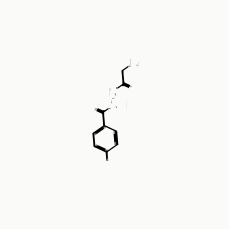 O=C(CBr)NNC(=O)c1ccc(Br)cc1